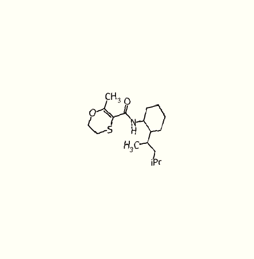 CC1=C(C(=O)NC2CCCCC2C(C)CC(C)C)SCCO1